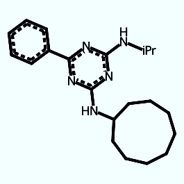 CC(C)Nc1nc(NC2CCCCCCCC2)nc(-c2ccccc2)n1